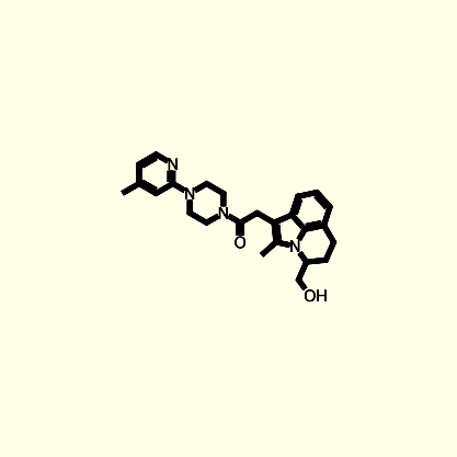 Cc1ccnc(N2CCN(C(=O)Cc3c(C)n4c5c(cccc35)CCC4CO)CC2)c1